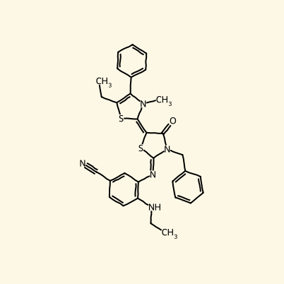 CCNc1ccc(C#N)cc1N=C1SC(=C2SC(CC)=C(c3ccccc3)N2C)C(=O)N1Cc1ccccc1